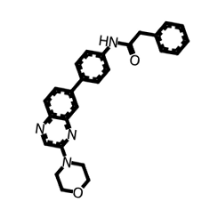 O=C(Cc1ccccc1)Nc1ccc(-c2ccc3ncc(N4CCOCC4)nc3c2)cc1